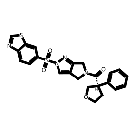 O=C(N1Cc2cn(S(=O)(=O)c3ccc4ncsc4c3)nc2C1)[C@]1(c2ccccc2)CCOC1